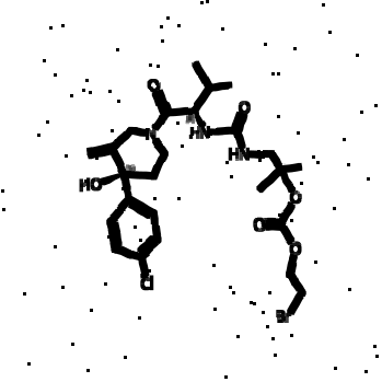 C=C1CN(C(=O)[C@H](NC(=O)NCC(C)(C)OC(=O)OCCBr)C(C)C)CC[C@]1(O)c1ccc(Cl)cc1